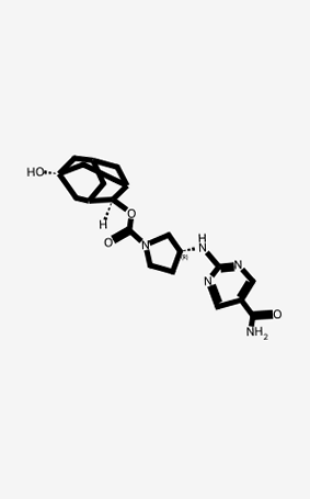 NC(=O)c1cnc(N[C@@H]2CCN(C(=O)O[C@H]3C4CC5CC3C[C@](O)(C5)C4)C2)nc1